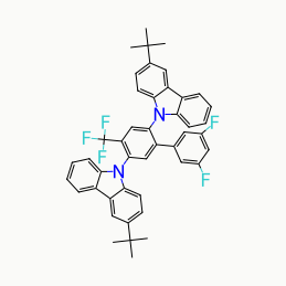 CC(C)(C)c1ccc2c(c1)c1ccccc1n2-c1cc(C(F)(F)F)c(-n2c3ccccc3c3cc(C(C)(C)C)ccc32)cc1-c1cc(F)cc(F)c1